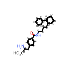 NC(Cc1ccc(C(=O)NCCCCc2ccccc2-c2ccccc2)cc1)C(=O)O